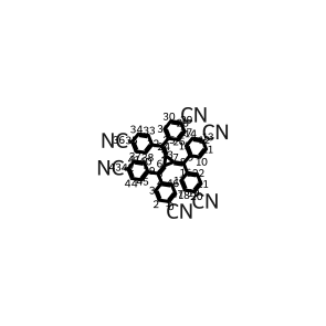 N#Cc1ccc(C(=C2C(=C(c3ccc(C#N)cc3)c3ccc(C#N)cc3)C2=C(c2ccc(C#N)cc2)c2ccc(C#N)cc2)c2ccc(C#N)cc2)cc1